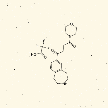 O=C(CCC(=O)N1CCOCC1)c1ccc2c(c1)CCNCC2.O=C(O)C(F)(F)F